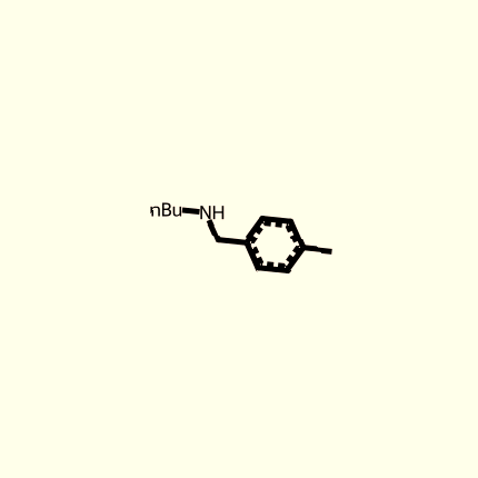 CCCCNCc1ccc(C)cc1